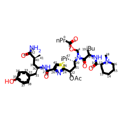 CCCC(=O)OCN(C(=O)C(NC(=O)[C@H]1CCCCN1C)C(C)CC)[C@H](C[C@@H](OC(C)=O)c1nc(C(=O)N[C@@H](Cc2ccc(O)cc2)C[C@H](C)C(N)=O)cs1)C(C)C